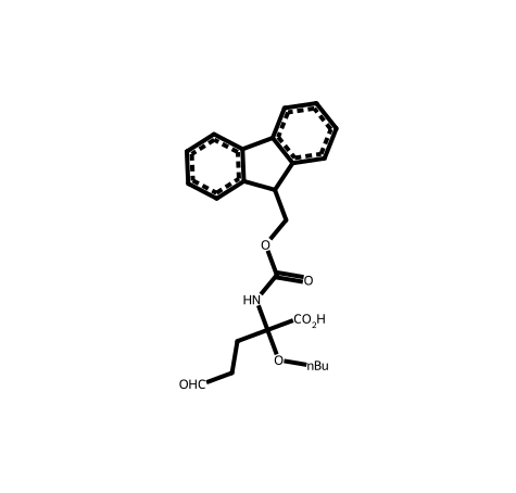 CCCCOC(CCC=O)(NC(=O)OCC1c2ccccc2-c2ccccc21)C(=O)O